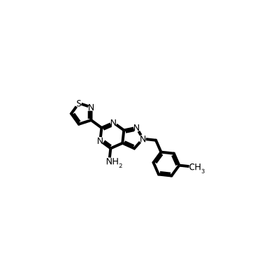 Cc1cccc(Cn2cc3c(N)nc(-c4ccsn4)nc3n2)c1